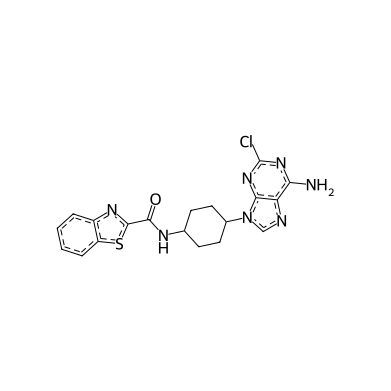 Nc1nc(Cl)nc2c1ncn2C1CCC(NC(=O)c2nc3ccccc3s2)CC1